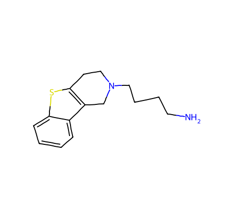 NCCCCN1CCc2sc3ccccc3c2C1